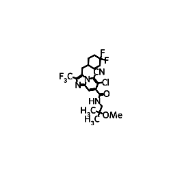 COC(C)(C)CNC(=O)c1cc2nc(C(F)(F)F)c(CC3CCC(F)(F)CC3)n2c(C#N)c1Cl